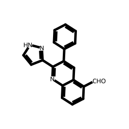 O=Cc1cccc2nc(-c3cc[nH]n3)c(-c3ccccc3)cc12